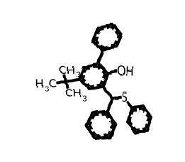 CC(C)(C)c1cc(-c2ccccc2)c(O)c(C(Sc2ccccc2)c2ccccc2)c1